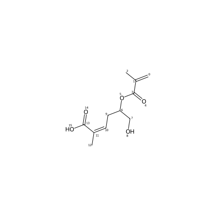 C=C(C)C(=O)OC(CO)CC=C(C)C(=O)O